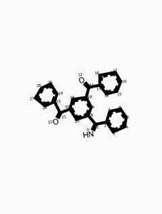 N=C(c1ccccc1)c1cc(C(=O)c2ccccc2)cc(C(=O)c2ccccc2)c1